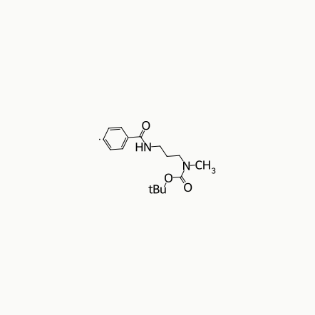 CN(CCCNC(=O)c1cc[c]cc1)C(=O)OC(C)(C)C